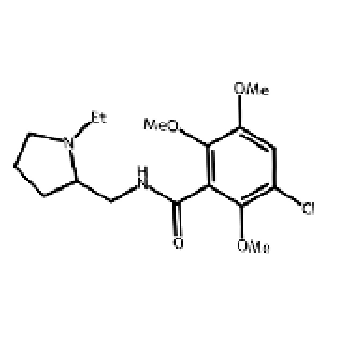 CCN1CCCC1CNC(=O)c1c(OC)c(Cl)cc(OC)c1OC